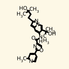 Cc1cc(-c2nc(C(=O)Nc3cc4cc(CCC(C)(C)O)nn4cc3C(C)(C)O)co2)ccn1